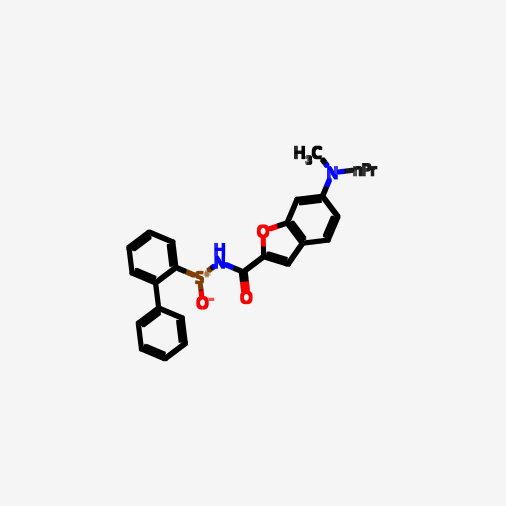 CCCN(C)c1ccc2cc(C(=O)N[S+]([O-])c3ccccc3-c3ccccc3)oc2c1